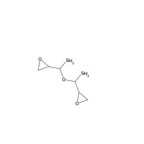 [SiH3]C(OC([SiH3])C1CO1)C1CO1